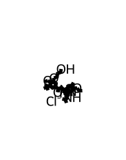 CCOc1nn2c(NC(C)C)n[n+](CC(=O)c3cc(OCCCO)c(OC)c(C(C)(C)C)c3)c2cc1C.[Cl-]